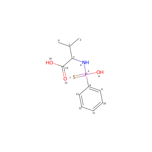 CC(C)C(NP(O)(=S)c1ccccc1)C(=O)O